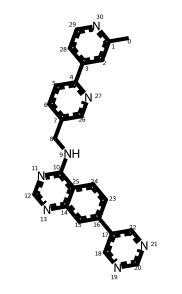 Cc1cc(-c2ccc(CNc3ncnc4cc(-c5cncnc5)ccc34)cn2)ccn1